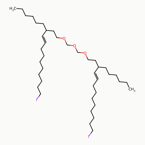 CCCCCCC(C=CCCCCCCCCI)CCOCOCOCCC(C=CCCCCCCCCI)CCCCCC